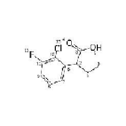 CCC(C(=O)O)c1cccc(F)c1Cl